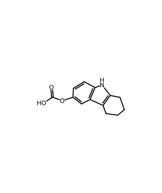 O=C(O)Oc1ccc2[nH]c3c(c2c1)CCCC3